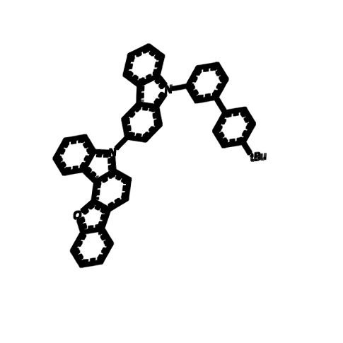 CC(C)(C)c1ccc(-c2cccc(-n3c4ccccc4c4cc(-n5c6ccccc6c6c7oc8ccccc8c7ccc65)ccc43)c2)cc1